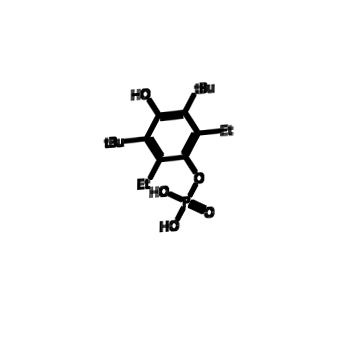 CCc1c(OP(=O)(O)O)c(CC)c(C(C)(C)C)c(O)c1C(C)(C)C